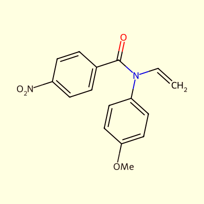 C=CN(C(=O)c1ccc([N+](=O)[O-])cc1)c1ccc(OC)cc1